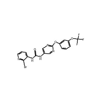 O=C(Nc1cnc(Oc2cccc(OC(F)(F)F)c2)nc1)Nc1cccnc1Br